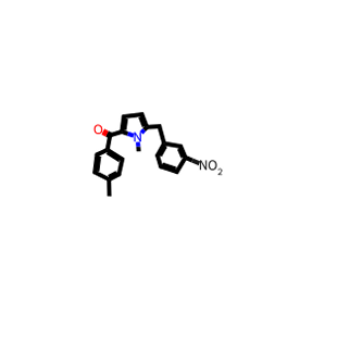 Cc1ccc(C(=O)c2ccc(Cc3cccc([N+](=O)[O-])c3)n2C)cc1